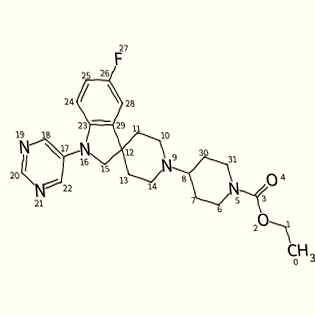 CCOC(=O)N1CCC(N2CCC3(CC2)CN(c2cncnc2)c2ccc(F)cc23)CC1